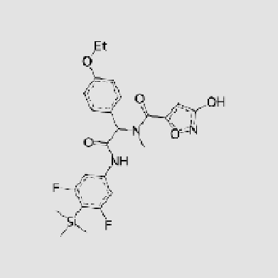 CCOc1ccc(C(C(=O)Nc2cc(F)c([Si](C)(C)C)c(F)c2)N(C)C(=O)c2cc(O)no2)cc1